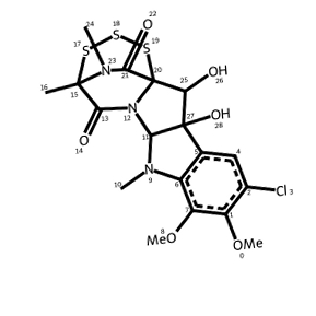 COc1c(Cl)cc2c(c1OC)N(C)C1N3C(=O)C4(C)SSSC3(C(=O)N4C)C(O)C21O